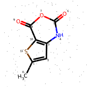 Cc1cc2[nH]c(=O)oc(=O)c2s1